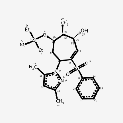 CC[Si](CC)(CC)O[C@@H]1CC(n2nc(C)cc2C)C(S(=O)(=O)c2ccccc2)=C[C@@H](O)[C@@H]1C